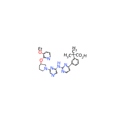 CCOc1cccnc1O[C@@H]1CCCN(c2cncc(Nc3nccc(-c4cccc(C(C)(C)C(=O)O)c4)n3)n2)C1